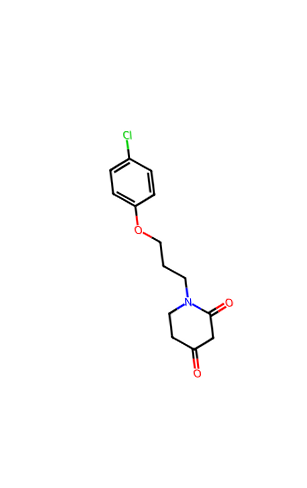 O=C1CCN(CCCOc2ccc(Cl)cc2)C(=O)C1